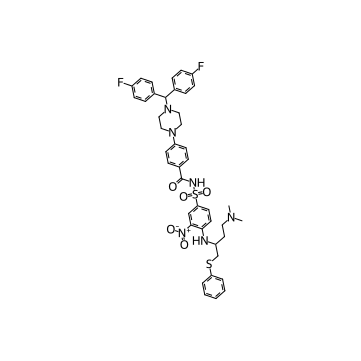 CN(C)CCC(CSc1ccccc1)Nc1ccc(S(=O)(=O)NC(=O)c2ccc(N3CCN(C(c4ccc(F)cc4)c4ccc(F)cc4)CC3)cc2)cc1[N+](=O)[O-]